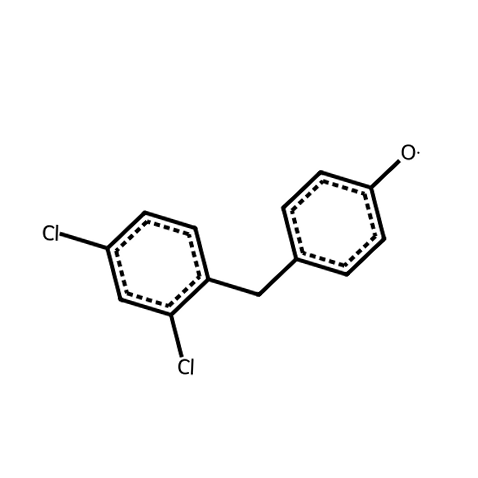 [O]c1ccc(Cc2ccc(Cl)cc2Cl)cc1